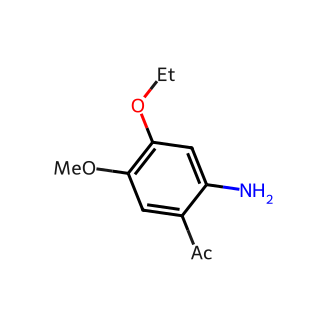 CCOc1cc(N)c(C(C)=O)cc1OC